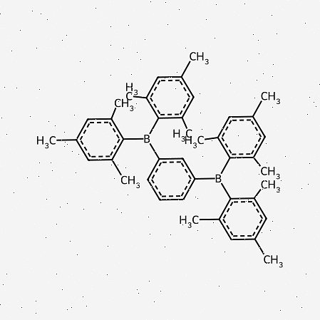 Cc1cc(C)c(B(c2cccc(B(c3c(C)cc(C)cc3C)c3c(C)cc(C)cc3C)c2)c2c(C)cc(C)cc2C)c(C)c1